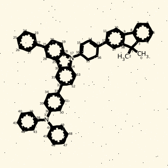 CC1(C)c2ccccc2-c2ccc(C3=CC=C(n4c5ccc(-c6ccccc6)cc5c5cc(-c6ccc(N(c7ccccc7)c7ccccc7)cc6)ccc54)CC3)cc21